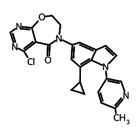 Cc1ccc(-n2ccc3cc(N4CCOc5ncnc(Cl)c5C4=O)cc(C4CC4)c32)cn1